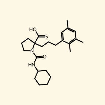 Cc1cc(C)c(C)c(CCCC2(C(O)=S)CCCN2C(=O)NC2CCCCC2)c1